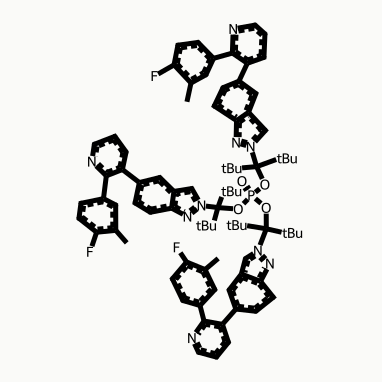 Cc1cc(-c2ncccc2-c2ccc3nn(C(OP(=O)(OC(n4cc5cc(-c6cccnc6-c6ccc(F)c(C)c6)ccc5n4)(C(C)(C)C)C(C)(C)C)OC(n4cc5cc(-c6cccnc6-c6ccc(F)c(C)c6)ccc5n4)(C(C)(C)C)C(C)(C)C)(C(C)(C)C)C(C)(C)C)cc3c2)ccc1F